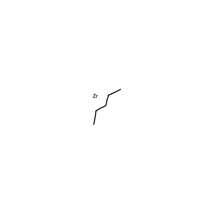 CCCCC.[Zr]